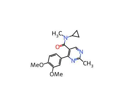 COc1ccc(-c2nc(C)ncc2C(=O)N(C)C2CC2)cc1OC